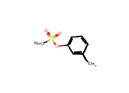 COS(=O)(=O)Oc1cccc(C)c1